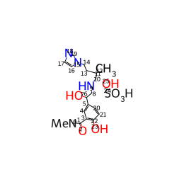 CNC(=O)c1cc(C(O)CNCC(C)CCn2ccnc2)ccc1O.O=S(=O)(O)O